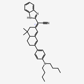 CCCCN(CCCC)c1ccc(C2=CC3=C/C(=C(\C#N)c4nc5ccccc5[nH]4)CC(C)(C)C3CC2)cc1